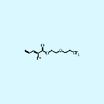 C=C/C=C(\CC)C(=O)OCCOCCC(F)(F)F